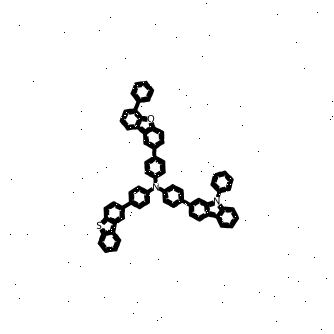 c1ccc(-c2cccc3c2oc2ccc(-c4ccc(N(c5ccc(-c6ccc7sc8ccccc8c7c6)cc5)c5ccc(-c6ccc7c8ccccc8n(-c8ccccc8)c7c6)cc5)cc4)cc23)cc1